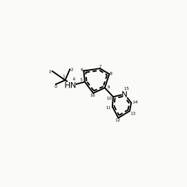 CC(C)(C)Nc1cccc(-c2ccccn2)c1